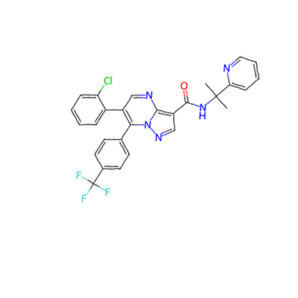 CC(C)(NC(=O)c1cnn2c(-c3ccc(C(F)(F)F)cc3)c(-c3ccccc3Cl)cnc12)c1ccccn1